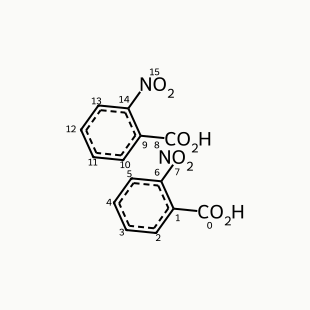 O=C(O)c1ccccc1[N+](=O)[O-].O=C(O)c1ccccc1[N+](=O)[O-]